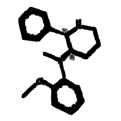 COc1ccccc1N(C)[C@@H]1CCCN[C@@H]1c1ccccc1